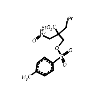 CCOC(=O)C(COS(=O)(=O)c1ccc(C)cc1)(C[PH2]=O)CC(C)C